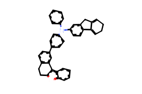 C1=C2Cc3cc(N(c4ccccc4)c4ccc(-c5ccc6c(c5)-c5c(oc7ccccc57)CC6)cc4)ccc3C2=CCC1